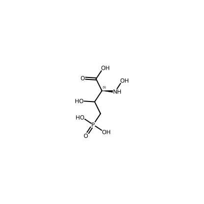 O=C(O)[C@@H](NO)C(O)CP(=O)(O)O